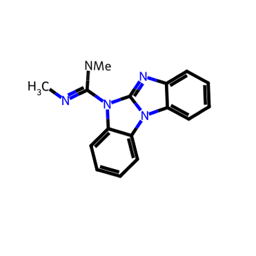 C/N=C(\NC)n1c2ccccc2n2c3ccccc3nc12